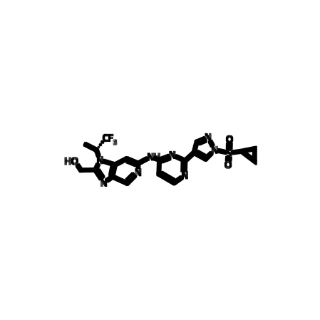 C[C@@H](n1c(CO)nc2cnc(Nc3ccnc(-c4cnn(S(=O)(=O)C5CC5)c4)n3)cc21)C(F)(F)F